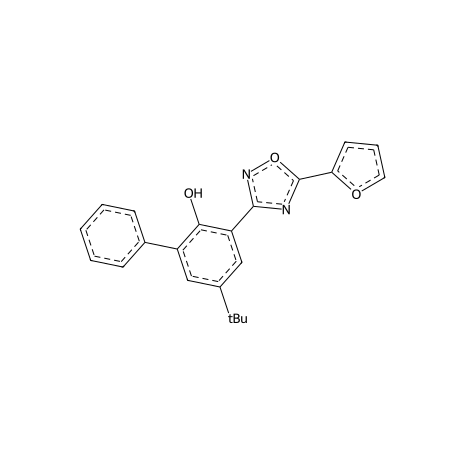 CC(C)(C)c1cc(-c2ccccc2)c(O)c(-c2noc(-c3ccco3)n2)c1